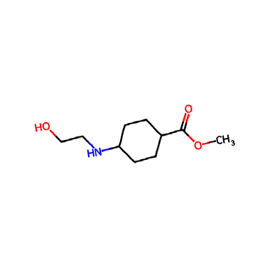 COC(=O)C1CCC(NCCO)CC1